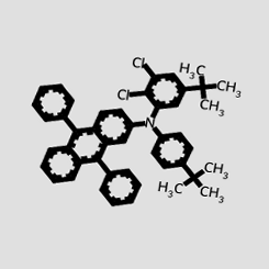 CC(C)(C)c1ccc(N(c2ccc3c(-c4ccccc4)c4ccccc4c(-c4ccccc4)c3c2)c2cc(C(C)(C)C)cc(Cl)c2Cl)cc1